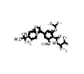 COc1cc(-c2cnc3cc(C(C)(C)C#N)ccn23)cc(OC(F)F)c1C(=O)NC(C)C(F)F